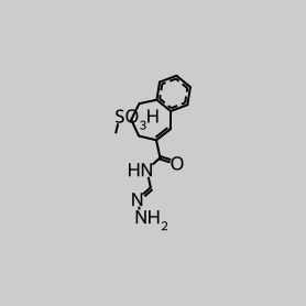 CS(=O)(=O)O.NN=CNC(=O)C1=Cc2ccccc2CCC1